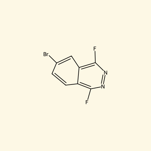 Fc1nnc(F)c2cc(Br)ccc12